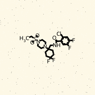 CCS(=O)(=O)N1CCN(C2(CNC(=O)c3cc(F)c(F)cc3Cl)CCC(F)(F)CC2)CC1